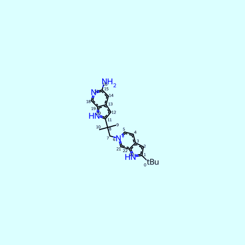 CC(C)(C)c1cc2cc[n+](CC(C)(C)c3cc4cc(N)ncc4[nH]3)cc2[nH]1